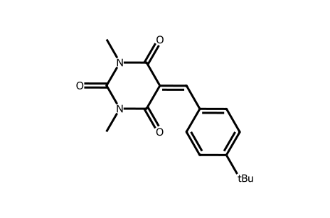 CN1C(=O)C(=Cc2ccc(C(C)(C)C)cc2)C(=O)N(C)C1=O